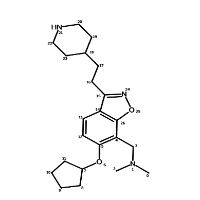 CN(C)Cc1c(OC2CCCC2)ccc2c(CCC3CCNCC3)noc12